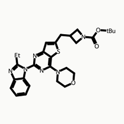 CCc1nc2ccccc2n1-c1nc(N2CCOCC2)c2sc(CC3CN(C(=O)OC(C)(C)C)C3)cc2n1